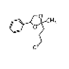 CC1(CCCCl)OCC(c2ccccc2)O1